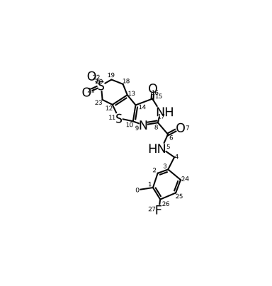 Cc1cc(CNC(=O)c2nc3sc4c(c3c(=O)[nH]2)CCS(=O)(=O)C4)ccc1F